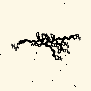 CCCCCCC(O)C(=O)C(C)C(=O)C(CCCCCC)C(=O)C(C)C(=O)C(CCCCCC)C(=O)C(C)C(C)=O